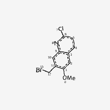 COc1cc2ccc(Cl)nc2cc1CBr